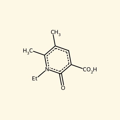 CCn1c(C)c(C)cc(C(=O)O)c1=O